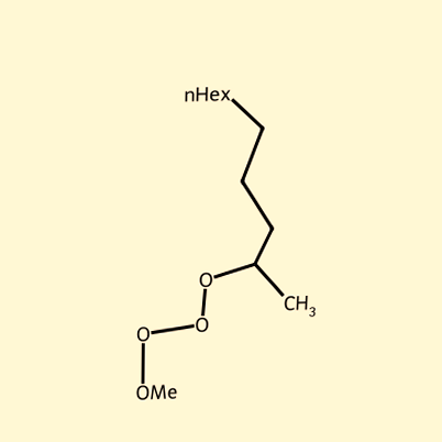 CCCCCCCCCC(C)OOOOC